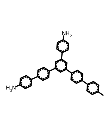 Cc1ccc(-c2ccc(-c3cc(-c4ccc(N)cc4)cc(-c4ccc(-c5ccc(N)cc5)cc4)c3)cc2)cc1